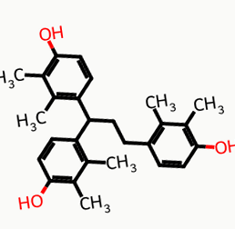 Cc1c(O)ccc(CCC(c2ccc(O)c(C)c2C)c2ccc(O)c(C)c2C)c1C